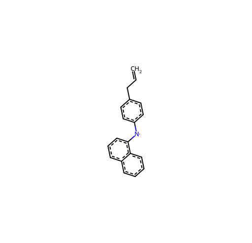 C=CCc1ccc([N]c2cccc3ccccc23)cc1